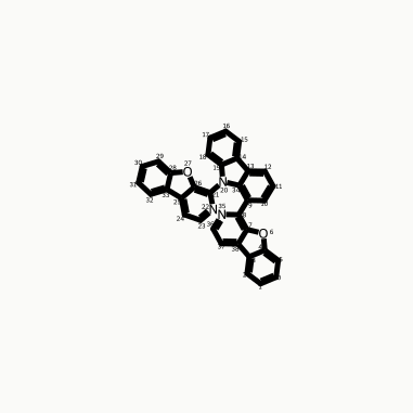 c1ccc2c(c1)oc1c(-c3cccc4c5ccccc5n(-c5nccc6c5oc5ccccc56)c34)nccc12